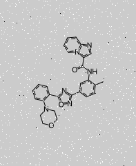 Cc1ccc(-c2noc(-c3ccccc3N3CCOCC3)n2)cc1NC(=O)c1cnc2ccccn12